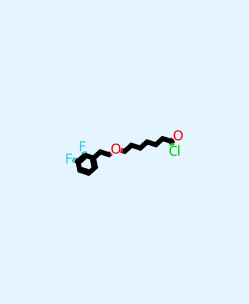 O=C(Cl)CCCCCCOCCc1cccc(F)c1F